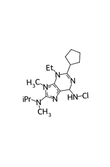 CCN1C(C2CCCC2)=NC(NCl)c2nc(N(C)C(C)C)n(C)c21